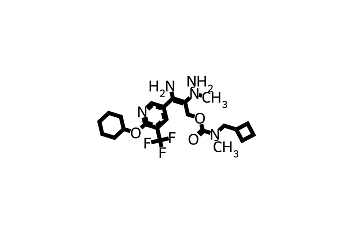 CN(CC1CCC1)C(=O)OC/C(=C(/N)c1cnc(OC2CCCCC2)c(C(F)(F)F)c1)N(C)N